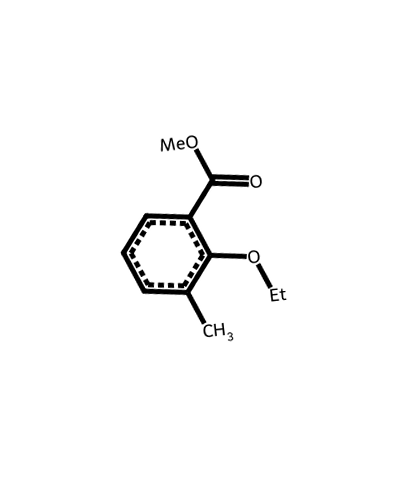 CCOc1c(C)cccc1C(=O)OC